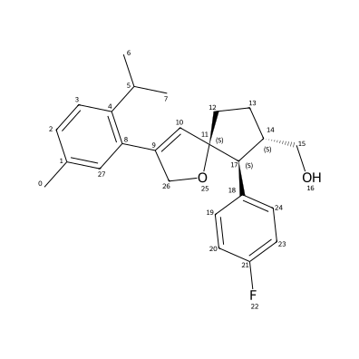 Cc1ccc(C(C)C)c(C2=C[C@@]3(CC[C@H](CO)[C@H]3c3ccc(F)cc3)OC2)c1